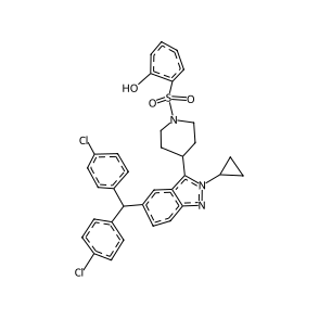 O=S(=O)(c1ccccc1O)N1CCC(c2c3cc(C(c4ccc(Cl)cc4)c4ccc(Cl)cc4)ccc3nn2C2CC2)CC1